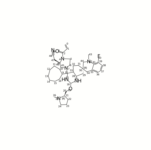 C=CC(=O)N1CCN(C2(C3CCCCCCC3)NC(OC[C@H]3CCCN3C)NC3C[C@@]4(CCC32)Cc2cccc(F)c2N(C)C4)C[C@H]1CC#N